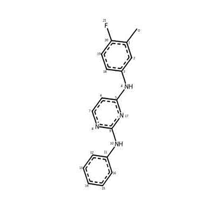 Cc1cc(Nc2ccnc(Nc3ccccc3)n2)ccc1F